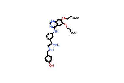 COCCOc1cc2ncnc(Nc3cccc(/C(N)=C/NCc4ccc(O)cc4)c3)c2cc1OCCOC